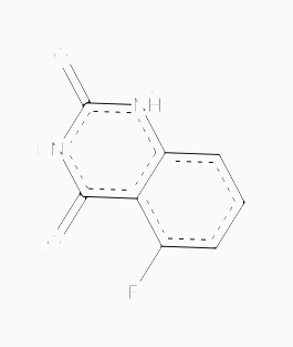 O=c1[nH]c(=O)c2c(F)cccc2[nH]1